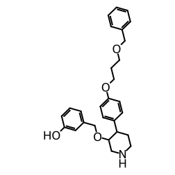 Oc1cccc(COC2CNCCC2c2ccc(OCCCOCc3ccccc3)cc2)c1